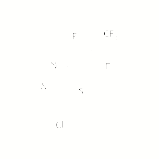 FC(F)(F)C(F)(F)c1nnc(Cl)s1